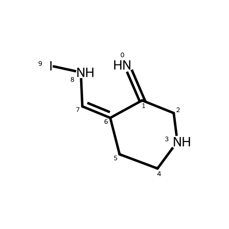 N=C1CNCC/C1=C/NI